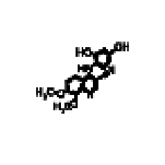 COc1ccc2c(Nc3ccc(O)cc3O)c(C#N)cnc2c1OC